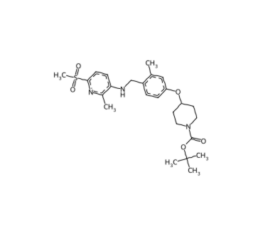 Cc1cc(OC2CCN(C(=O)OC(C)(C)C)CC2)ccc1CNc1ccc(S(C)(=O)=O)nc1C